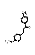 Cc1ccc(C(=O)C=Cc2ccc(OC(F)(F)F)cc2)cc1